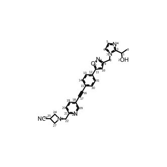 CC(O)c1nccn1Cc1cc(-c2ccc(C#Cc3ccc(CN4CC(C#N)C4)nc3)cc2)on1